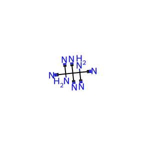 N#CC(N)(C#N)C(C#N)(C#N)C(N)(C#N)C#N